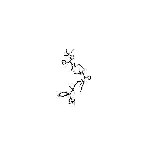 CN(CC(C)(C)C(=O)O)C(=O)N1CCN(C(=O)OC(C)(C)C)CC1